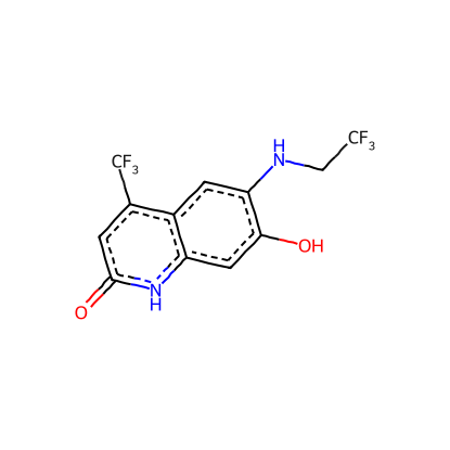 O=c1cc(C(F)(F)F)c2cc(NCC(F)(F)F)c(O)cc2[nH]1